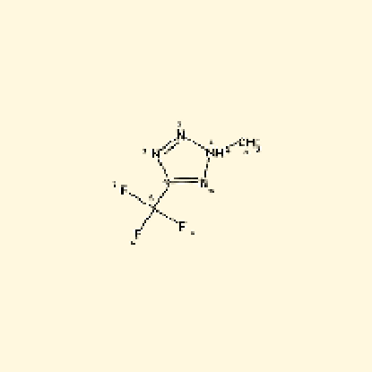 [CH2-][NH+]1N=NC(C(F)(F)F)=N1